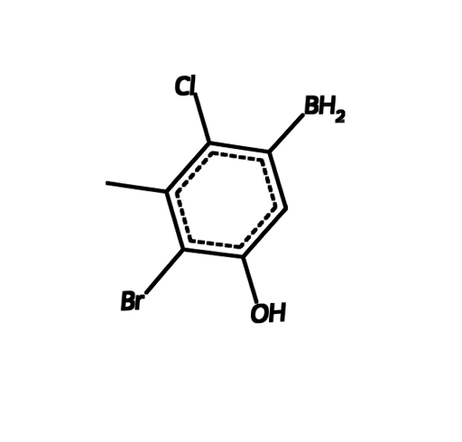 Bc1cc(O)c(Br)c(C)c1Cl